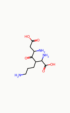 NCCCC(C(=O)C(N)CC(=O)O)C(N)C(=O)O